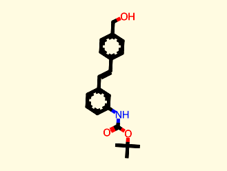 CC(C)(C)OC(=O)Nc1cccc(/C=C/c2ccc(CO)cc2)c1